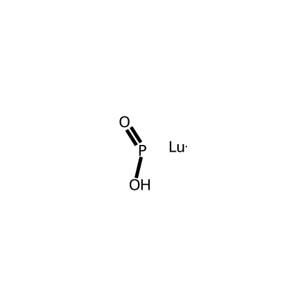 O=PO.[Lu]